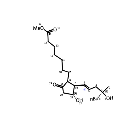 CCCC[C@](C)(O)C/C=C/[C@@H]1C(CCCCCCC(=O)OC)C(=O)C[C@H]1O